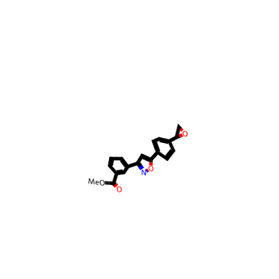 COC(=O)c1cccc(-c2cc(-c3ccc(C4CO4)cc3)on2)c1